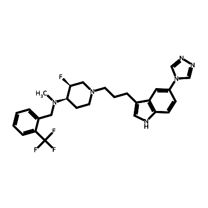 CN(Cc1ccccc1C(F)(F)F)[C@@H]1CCN(CCCc2c[nH]c3ccc(-n4cnnc4)cc23)C[C@@H]1F